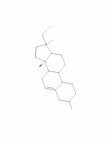 CNCC1(O)CC[C@H]2[C@@H]3CC=C4CC(O)CC[C@]4(C)[C@@H]3CC[C@@]21C